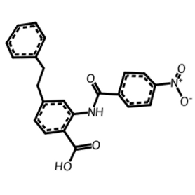 O=C(Nc1cc(CCc2ccccc2)ccc1C(=O)O)c1ccc([N+](=O)[O-])cc1